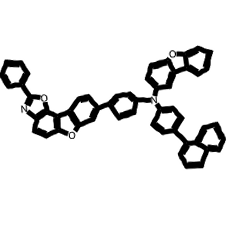 c1ccc(-c2nc3ccc4oc5cc(-c6ccc(N(c7ccc(-c8cccc9ccccc89)cc7)c7ccc8oc9ccccc9c8c7)cc6)ccc5c4c3o2)cc1